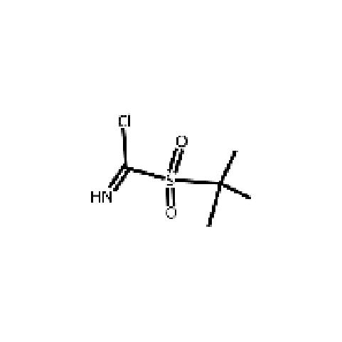 CC(C)(C)S(=O)(=O)C(=N)Cl